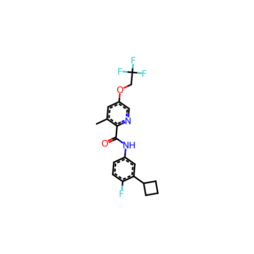 Cc1cc(OCC(F)(F)F)cnc1C(=O)Nc1ccc(F)c(C2CCC2)c1